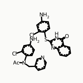 CC(=O)N(Cc1cccnc1)c1ccc(N)cc1Cl.Nc1ccc(Sc2nc3ccccc3c(=O)[nH]2)c(Cl)c1